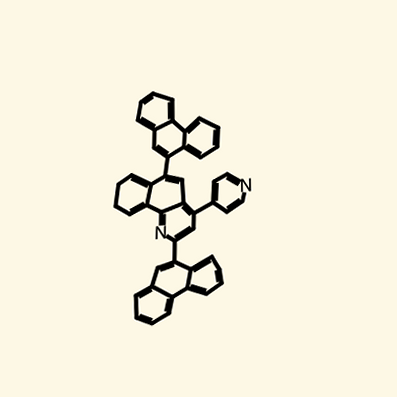 C1=c2c(-c3cc4ccccc4c4ccccc34)cc3c(-c4ccncc4)cc(-c4cc5ccccc5c5ccccc45)nc3c2=CCC1